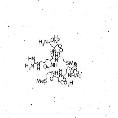 CSCC[C@H](NC(=O)[C@H](CCCNC(=N)N)NC(=O)[C@H](CCSC)NC(=O)[C@H](CC(=O)O)NC(=O)[C@H](CCC(N)=O)NC(C)=O)C(=O)N[C@@H](CC(N)=O)C(N)=O